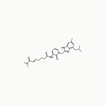 Cc1cc(CC(C)C)c2nc(Cn3cccc(NC(=O)CCC/C=C/C(=O)N(C)C)c3=O)[nH]c2c1